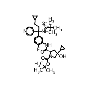 CC(C)(C)OC(=O)N1C[C@@](O)(C2CC2)C[C@@H]1C(=O)Nc1cc(C(CCC2CC2)(N[S+]([O-])C(C)(C)C)c2ccncc2)ccc1F